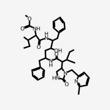 CCC(C)C(NC(=O)OC)C(=O)NC(Cc1ccccc1)C(O)CC(Cc1ccccc1)NC(=O)C(C(C)CC)C1CNC(=O)N1Cc1cccc(C)n1